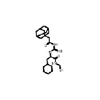 CC(C)CNC(=O)C(CC1CCCCC1)NC(=N)NC(=O)CC12CC3CC(CC(C3)C1)C2